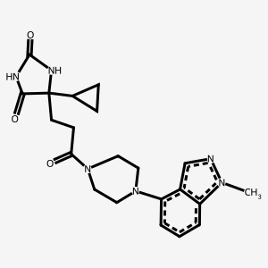 Cn1ncc2c(N3CCN(C(=O)CCC4(C5CC5)NC(=O)NC4=O)CC3)cccc21